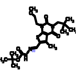 COCCn1c(=O)n(CC(C)(C)C)c(=O)c2c(C)c(/C=N/NC(=O)OC(C)(C)C)sc21